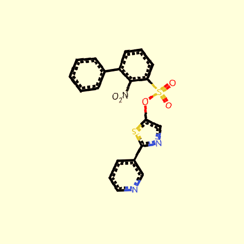 O=[N+]([O-])c1c(-c2ccccc2)cccc1S(=O)(=O)Oc1cnc(-c2cccnc2)s1